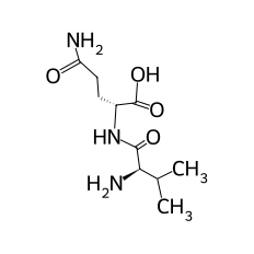 CC(C)[C@@H](N)C(=O)N[C@H](CCC(N)=O)C(=O)O